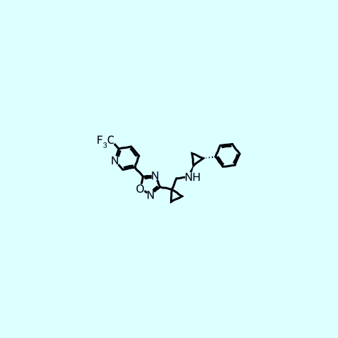 FC(F)(F)c1ccc(-c2nc(C3(CN[C@H]4C[C@@H]4c4ccccc4)CC3)no2)cn1